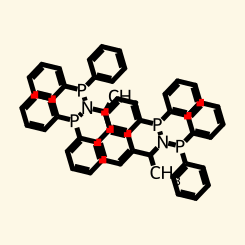 CC(c1cccc(C(C)N(P(c2ccccc2)c2ccccc2)P(c2ccccc2)c2ccccc2)c1)N(P(c1ccccc1)c1ccccc1)P(c1ccccc1)c1ccccc1